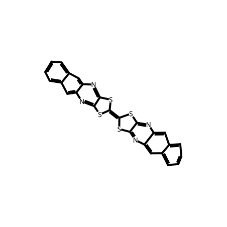 c1ccc2cc3nc4c(nc3cc2c1)SC(=C1Sc2nc3cc5ccccc5cc3nc2S1)S4